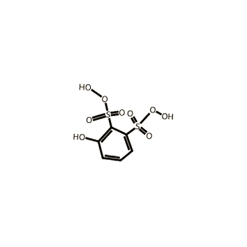 O=S(=O)(OO)c1cccc(O)c1S(=O)(=O)OO